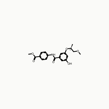 COC[C@H](C)Oc1cc(O)cc(C(=O)Nc2ccc(C(=O)OC)cc2)c1